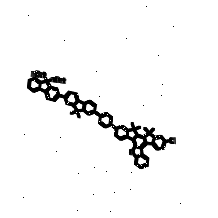 CCCCCCCCC1(CCCCCCCC)c2ccccc2-c2ccc(-c3ccc4c(c3)C(C)(C)c3cc(-c5ccc(-c6ccc7c(c6)C(C)(C)c6c8c(c9c(oc%10ccccc%109)c6-7)-c6ccc(Cl)cc6C8(C)C)cc5)ccc3-4)cc21